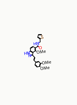 COc1ccc(/C=C/c2n[nH]c3ccc(C(=O)NCc4cccs4)c(OC)c23)cc1OC